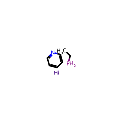 CCP.I.c1ccncc1